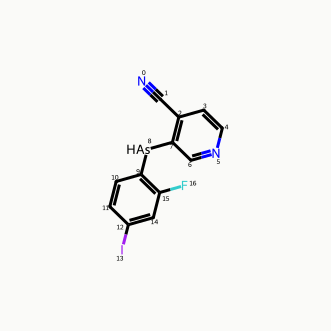 N#Cc1ccncc1[AsH]c1ccc(I)cc1F